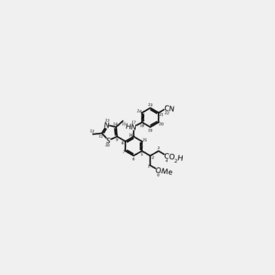 COCC(CC(=O)O)c1ccc(-c2sc(C)nc2C)c(Nc2ccc(C#N)cc2)c1